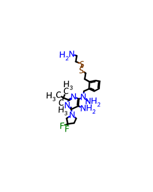 CC(C)(C)c1nc(N(N)Cc2ccccc2CCSSCCN)c(N)c(N2CCC(F)(F)C2)n1